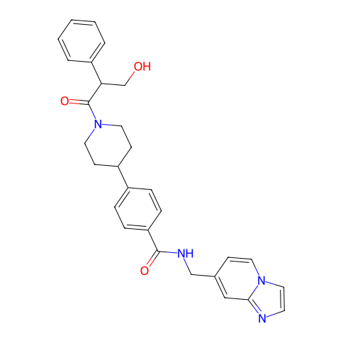 O=C(NCc1ccn2ccnc2c1)c1ccc(C2CCN(C(=O)C(CO)c3ccccc3)CC2)cc1